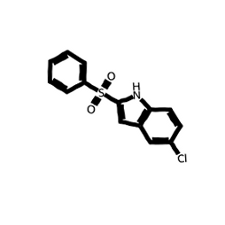 O=S(=O)(c1ccccc1)c1cc2cc(Cl)ccc2[nH]1